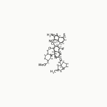 COCC1CCC2COc3c(Cl)c(-c4ccc(F)c5sc(N)c(C#N)c45)c(F)c4nc(OCC56CCCN5C[C@H](C)C6)nc(c34)N2C1